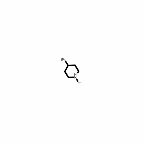 CC(C)C1CC[NH+]([O-])CC1